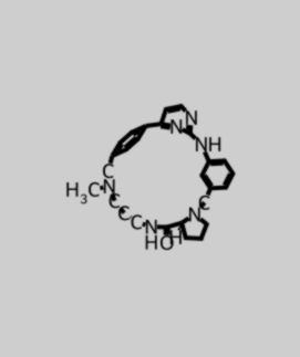 CN1CCCNC(=O)[C@@H]2CCCN2Cc2cccc(c2)Nc2nccc(n2)-c2ccc(cc2)C1